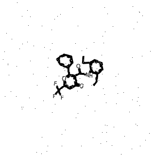 CCc1cccc(CC)c1NC(=O)c1c(-c2ccccc2)oc(C(F)(F)F)cc1=O